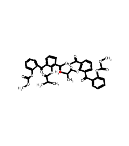 COC(=O)Oc1ccccc1C(=O)c1cccc(C(=O)OOC(=O)c2cccc(C(=O)c3ccccc3OC(=O)OC)c2OC(=O)C(C)C)c1OC(=O)C(C)C